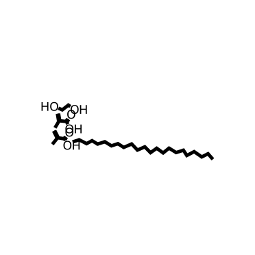 C=C(C)C(=O)O.C=C(C)C(=O)O.CCCCCCCCCCCCCCCCCCCCCCC.OCCO